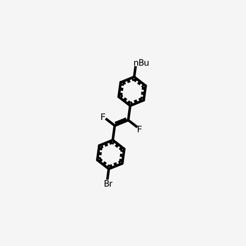 CCCCc1ccc(C(F)=C(F)c2ccc(Br)cc2)cc1